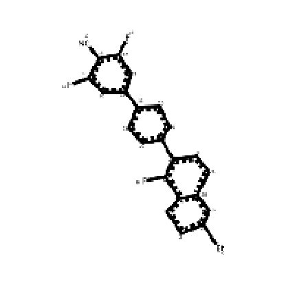 CCc1ccc2c(F)c(-c3ccc(-c4cc(F)c(C#N)c(F)c4)cc3)ccc2c1